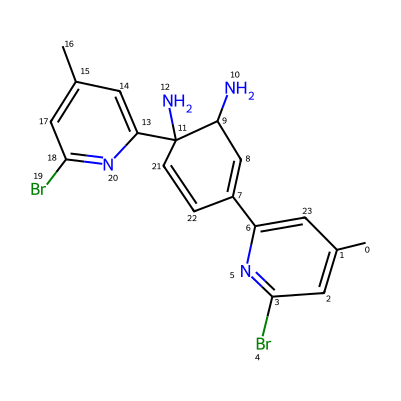 Cc1cc(Br)nc(C2=CC(N)C(N)(c3cc(C)cc(Br)n3)C=C2)c1